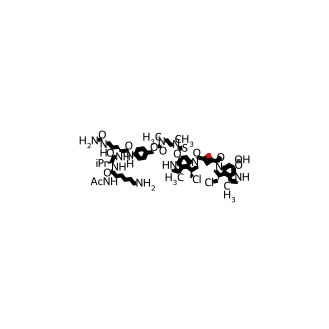 CC(=O)N[C@@H](CCCCN)C(=O)N[C@H](C(=O)N[C@@H](CCCNC(N)=O)C(=O)Nc1ccc(COC(=O)N(C)CCN(C)C(=S)Oc2cc3c(c4c(C)c[nH]c24)[C@H](CCl)CN3C(=O)C23CC(C(=O)N4C[C@@H](CCl)c5c4cc(OO)c4[nH]cc(C)c54)(C2)C3)cc1)C(C)C